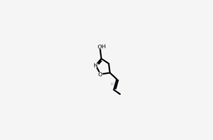 C/C=C/C1CC(O)=NO1